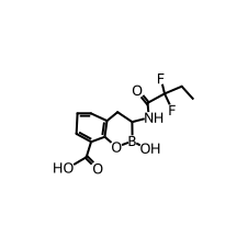 CCC(F)(F)C(=O)NC1Cc2cccc(C(=O)O)c2OB1O